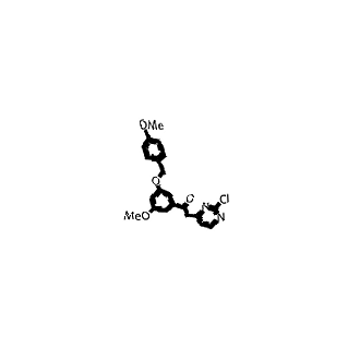 COc1ccc(COc2cc(OC)cc(C(=O)Cc3ccnc(Cl)n3)c2)cc1